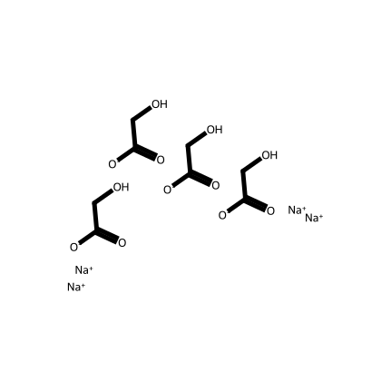 O=C([O-])CO.O=C([O-])CO.O=C([O-])CO.O=C([O-])CO.[Na+].[Na+].[Na+].[Na+]